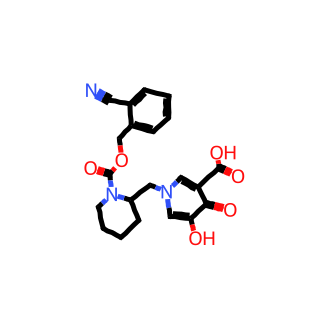 N#Cc1ccccc1COC(=O)N1CCCCC1Cn1cc(O)c(=O)c(C(=O)O)c1